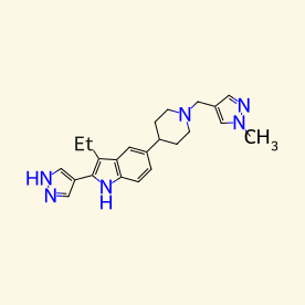 CCc1c(-c2cn[nH]c2)[nH]c2ccc(C3CCN(Cc4cnn(C)c4)CC3)cc12